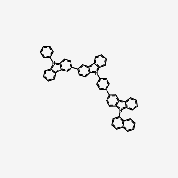 c1ccc(-n2c3ccccc3c3cc(-c4ccc5c(c4)c4ccccc4n5-c4ccc(-c5ccc6c(c5)c5ccccc5n6-c5cccc6ccccc56)cc4)ccc32)cc1